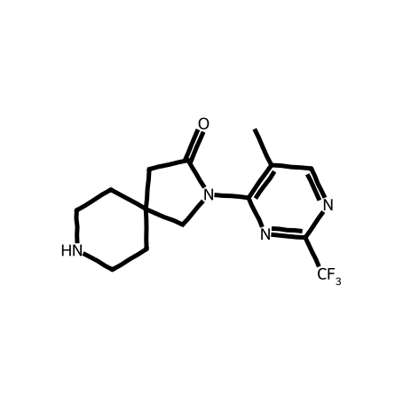 Cc1cnc(C(F)(F)F)nc1N1CC2(CCNCC2)CC1=O